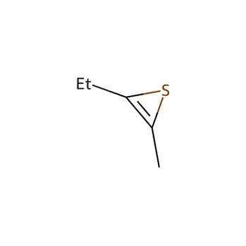 CCC1=C(C)S1